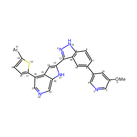 COc1cncc(-c2ccc3[nH]nc(-c4cc5c(-c6ccc(C(C)=O)s6)cncc5[nH]4)c3c2)c1